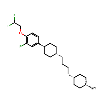 CCC[Si@H]1CC[C@H](CCCC[C@H]2CC[C@H](c3ccc(OCC(F)F)c(F)c3)CC2)CC1